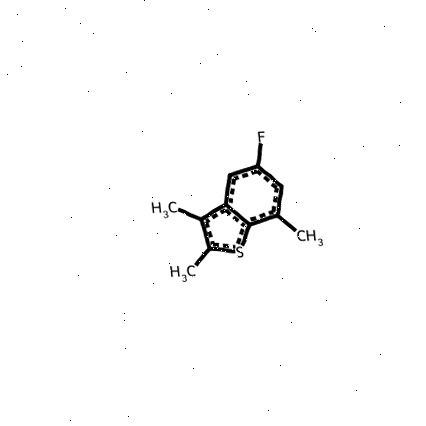 Cc1sc2c(C)cc(F)cc2c1C